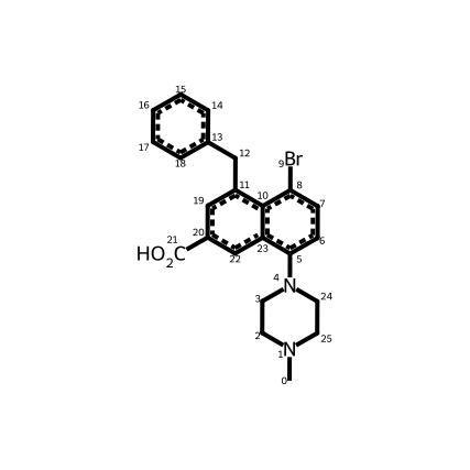 CN1CCN(c2ccc(Br)c3c(Cc4ccccc4)cc(C(=O)O)cc23)CC1